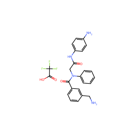 NCc1cccc(C(=O)N(CC(=O)Nc2ccc(N)cc2)c2ccccc2)c1.O=C(O)C(F)(F)F